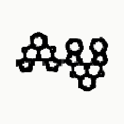 c1cc2c3c(c1)Oc1n(cc[n+]1-c1c4n(c5ccccc15)B1c5c(cccc5O4)Oc4cc5ccccc5n41)B3n1ccnc1O2